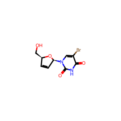 O=c1[nH]c(=O)n([C@H]2C=C[C@@H](CO)O2)cc1Br